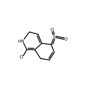 O=S(=O)=C1C=CCC2=C(Cl)NCC=C21